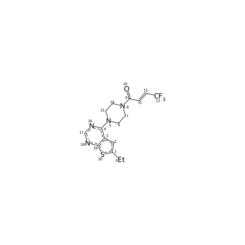 CCc1cc2c(N3CCN(C(=O)C=CC(F)(F)F)CC3)ncnc2s1